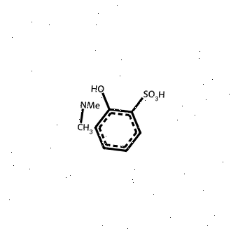 CNC.O=S(=O)(O)c1ccccc1O